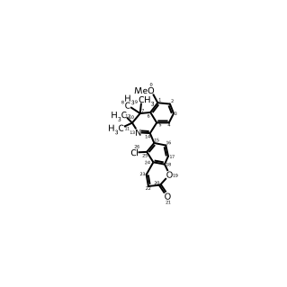 COc1cccc2c1C(C)(C)C(C)(C)N=C2c1ccc2oc(=O)ccc2c1Cl